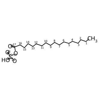 CCCCCCCCCCCCCCCCCC(=O)OS(=O)(=O)O